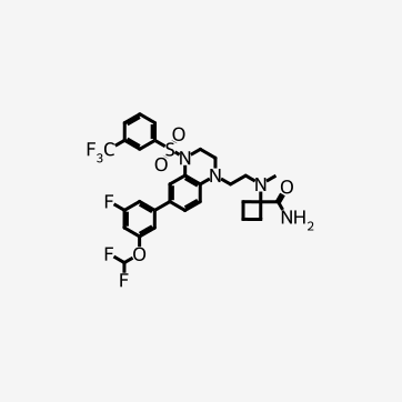 CN(CCN1CCN(S(=O)(=O)c2cccc(C(F)(F)F)c2)c2cc(-c3cc(F)cc(OC(F)F)c3)ccc21)C1(C(N)=O)CCC1